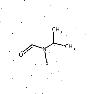 CC(C)N(F)[C]=O